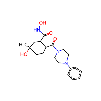 C[C@]1(O)CCC(C(=O)N2CCN(c3ccccc3)CC2)C(C(=O)NO)C1